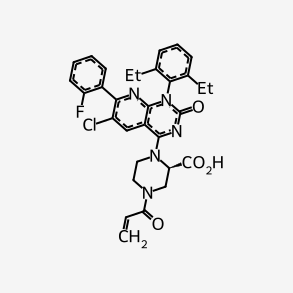 C=CC(=O)N1CCN(c2nc(=O)n(-c3c(CC)cccc3CC)c3nc(-c4ccccc4F)c(Cl)cc23)[C@@H](C(=O)O)C1